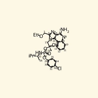 CCOCc1nc2c(N)nc3ccccc3c2n1C[C@](C)(O)OP(=O)(N[C@@H](C)C(C)C)Oc1ccc(Cl)cc1